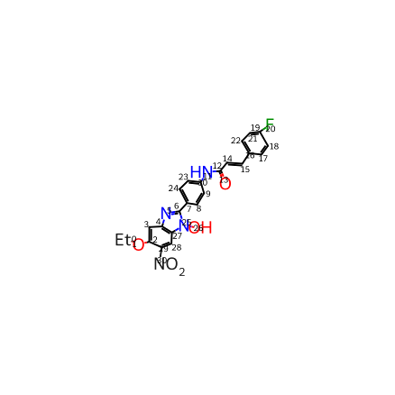 CCOc1cc2nc(-c3ccc(NC(=O)C=Cc4ccc(F)cc4)cc3)n(O)c2cc1[N+](=O)[O-]